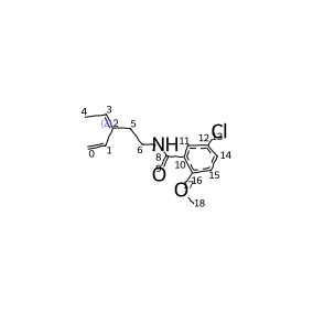 C=C/C(=C\C)CCNC(=O)c1cc(Cl)ccc1OC